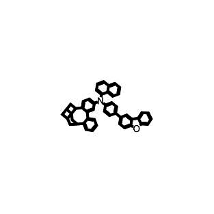 c1ccc2c(c1)-c1cc(N(c3ccc(-c4ccc5oc6ccccc6c5c4)cc3)c3cccc4ccccc34)ccc1C1CC3CC4CC2CC431